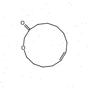 O=C1CCCCC/C=C\CCCCOC1